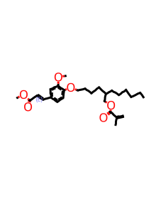 C=C(C)C(=O)OCC(CCCCCC)CCCCOc1ccc(/C=C/C(=O)OC)cc1OC